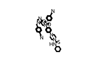 N#Cc1ccc(Cn2cncc2CN(c2ccc(N3CCN(C(=S)NC4CCCCC4)CC3)cc2)S(=O)(=O)c2ccc(C#N)cc2)cc1